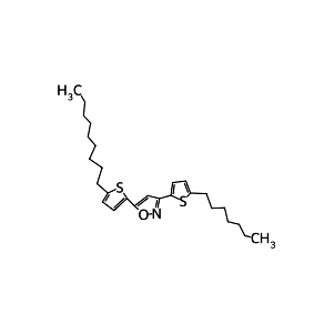 CCCCCCCCCc1ccc(-c2cc(-c3ccc(CCCCCCC)s3)no2)s1